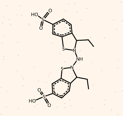 CCC1c2ccc(S(=O)(=O)O)cc2SN1NN1Sc2cc(S(=O)(=O)O)ccc2C1CC